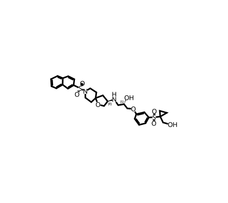 O=S(=O)(c1ccc2ccccc2c1)N1CCC2(CC1)C[C@@H](NC[C@H](O)COc1cccc(S(=O)(=O)C3(CO)CC3)c1)CO2